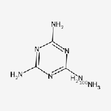 Nc1nc(N)nc(N)n1.[100NH3]